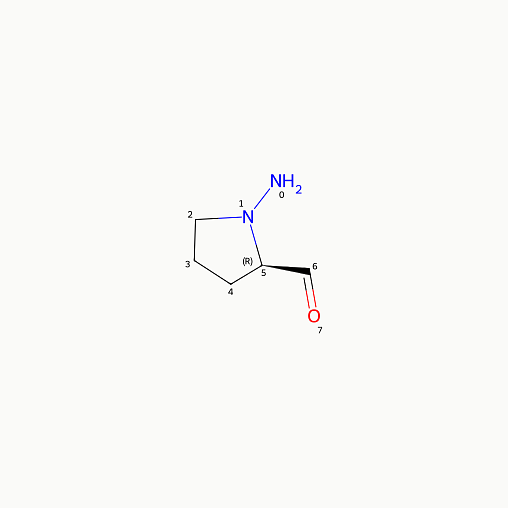 NN1CCC[C@@H]1C=O